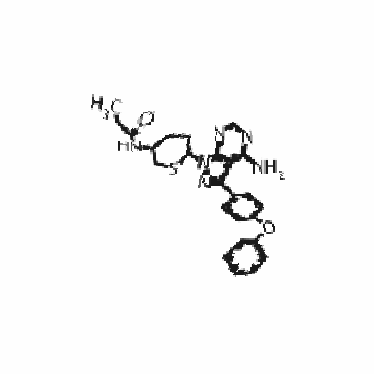 CCC(=O)NC1CCC(n2nc(-c3ccc(Oc4ccccc4)cc3)c3c(N)ncnc32)SC1